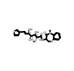 CO[C@@H](C(=O)NC1COc2ccccc2N(C)C1=O)[C@H](O)[C@@H](O)[C@H](O)/C=C/c1ccsc1